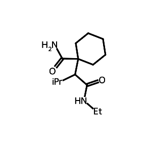 CCNC(=O)C(C(C)C)C1(C(N)=O)CCCCC1